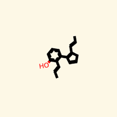 CC=CC1=C(c2cccc(O)c2C=CC)C=CC1